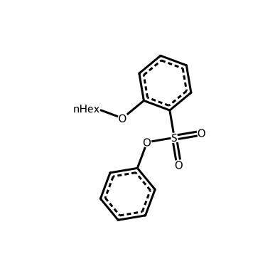 CCCCCCOc1ccccc1S(=O)(=O)Oc1ccccc1